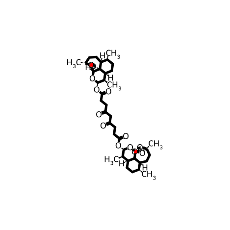 C[C@H]1[C@H](OC(=O)CCC(=O)CC(=O)CCC(=O)O[C@@H]2O[C@@H]3O[C@]4(C)CC[C@H]5[C@H](C)CC[C@@H]([C@H]2C)[C@@]35OO4)O[C@@H]2O[C@]3(C)CC[C@H]4[C@H](C)CC[C@@H]1[C@@]24OO3